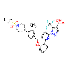 Cc1cc(COc2ccccc2-c2cccc(-n3ncc(C(=O)O)c3C(F)(F)F)n2)ccc1C1CCN(S(C)(=O)=O)CC1